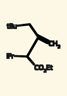 C=C(CC(C)(C)C)C(C(=O)OCC)C(C)C